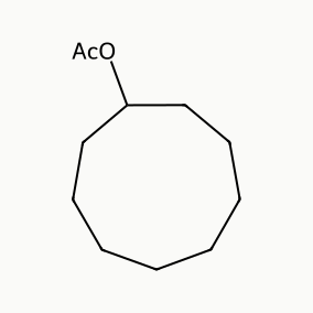 CC(=O)OC1CCCCCCCC1